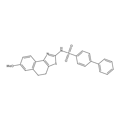 COc1ccc2c(c1)CCc1sc(NS(=O)(=O)c3ccc(-c4ccccc4)cc3)nc1-2